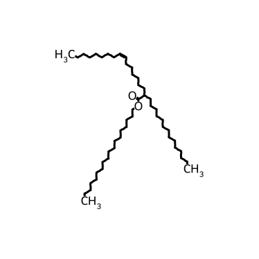 CCCCCCCC/C=C\CCCCCCC(CCCCCCCCCCCCCC)C(=O)OCCCCCCCCCCCCCCCCCC